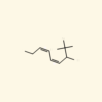 CC(/C=C\C=C/CBr)C(C)(C)N